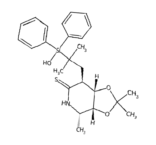 C[C@@H]1NC(=S)[C@@H](CC(C)(C)[Si](O)(c2ccccc2)c2ccccc2)[C@@H]2OC(C)(C)O[C@@H]21